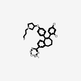 C/N=N\C(=N/C)c1ccc2c(c1)CCCC(c1ccc(Cl)cc1Cl)=C2c1ccc(OC2CCN(CCCF)C2)cc1